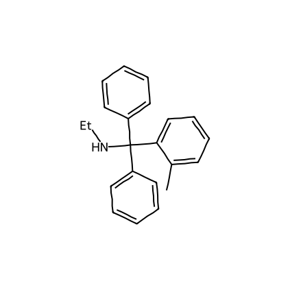 CCNC(c1ccccc1)(c1ccccc1)c1ccccc1C